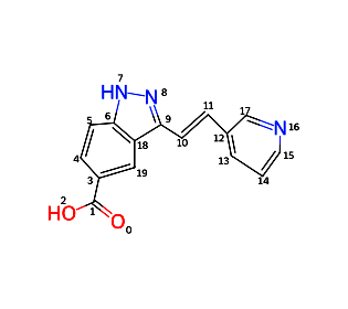 O=C(O)c1ccc2[nH]nc(/C=C/c3cccnc3)c2c1